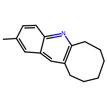 Cc1ccc2nc3c(cc2c1)CCCCCC3